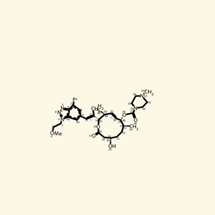 COCCn1nnc2c(F)cc(/C=C(\C)[C@H]3OC(=O)C[C@H](O)CC[C@H](C)[C@@H](OC(=O)N4CCN(C)CC4)/C=C/[C@@H]3C)cc21